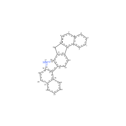 c1ccc2c3c(ccc2c1)Cc1c-3ccc2c1[nH]c1ccc3ccccc3c12